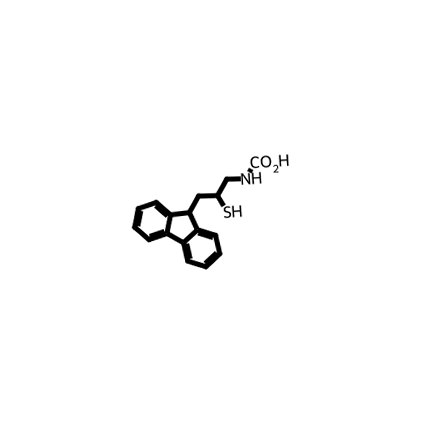 O=C(O)NCC(S)CC1c2ccccc2-c2ccccc21